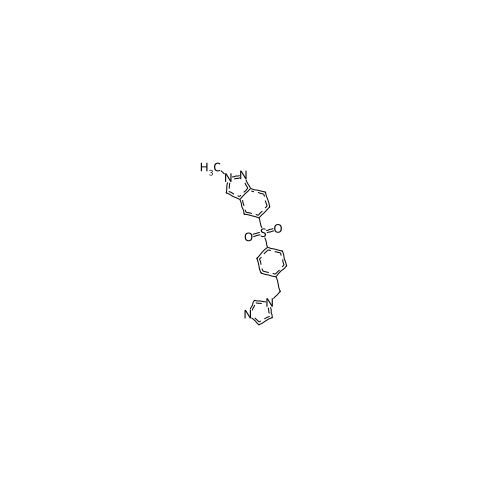 Cn1cc2cc(S(=O)(=O)c3ccc(Cn4ccnc4)cc3)ccc2n1